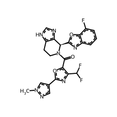 Cn1cc(-c2nc(C(F)F)c(C(=O)N3CCc4[nH]cnc4[C@H]3c3nc4cccc(F)c4o3)o2)cn1